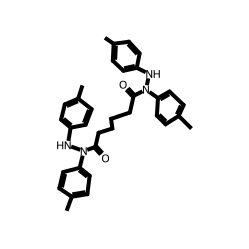 Cc1ccc(NN(C(=O)CCCCC(=O)N(Nc2ccc(C)cc2)c2ccc(C)cc2)c2ccc(C)cc2)cc1